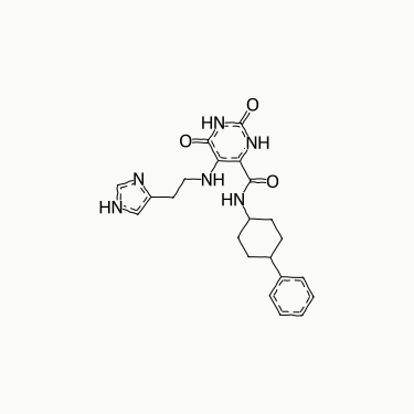 O=C(NC1CCC(c2ccccc2)CC1)c1[nH]c(=O)[nH]c(=O)c1NCCc1c[nH]cn1